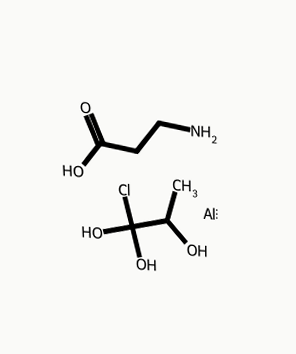 CC(O)C(O)(O)Cl.NCCC(=O)O.[Al]